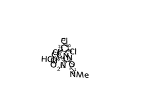 CNCCOc1nn(-c2c(Cl)cc(Cl)cc2Cl)c(C(Cl)Cl)c1[N+](=O)[O-].Cl